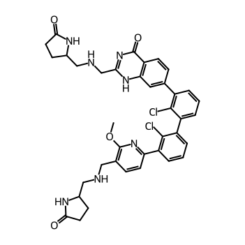 COc1nc(-c2cccc(-c3cccc(-c4ccc5c(=O)nc(CNCC6CCC(=O)N6)[nH]c5c4)c3Cl)c2Cl)ccc1CNCC1CCC(=O)N1